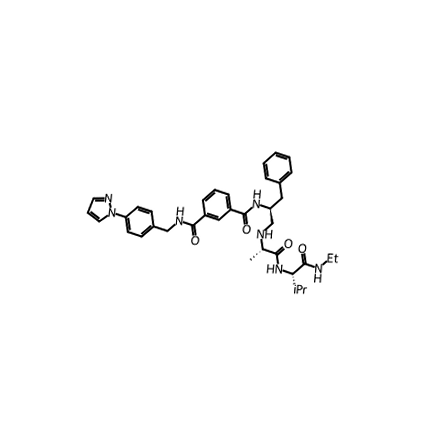 CCNC(=O)[C@@H](NC(=O)[C@H](C)NC[C@H](Cc1ccccc1)NC(=O)c1cccc(C(=O)NCc2ccc(-n3cccn3)cc2)c1)C(C)C